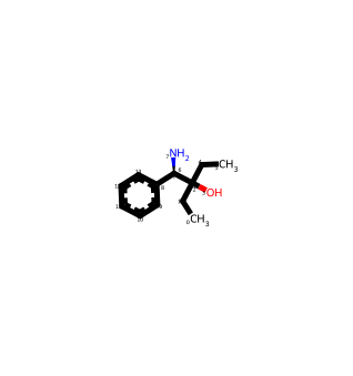 CCC(O)(CC)[C@H](N)c1ccccc1